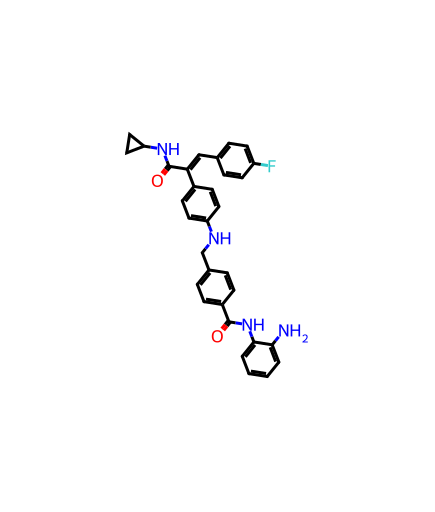 Nc1ccccc1NC(=O)c1ccc(CNc2ccc(/C(=C\c3ccc(F)cc3)C(=O)NC3CC3)cc2)cc1